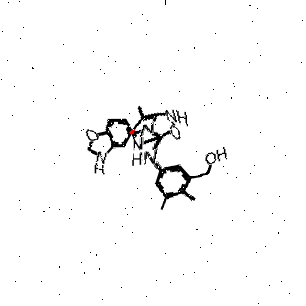 CC1=C2NOC(Nc3cc(C)c(C)c(CO)c3)(N=C1)N2c1ccc2c(c1)NCO2